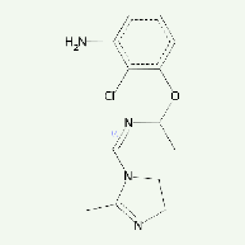 CC1=NCCN1/C=N\C(C)Oc1cccc(N)c1Cl